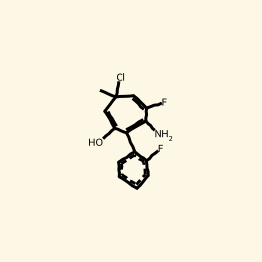 CC1(Cl)C=C(O)C(c2ccccc2F)=C(N)C(F)=C1